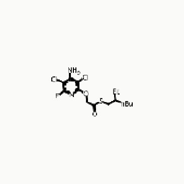 CCCCC(CC)CSC(=O)COc1nc(F)c(Cl)c(N)c1Cl